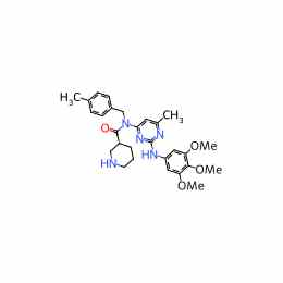 COc1cc(Nc2nc(C)cc(N(Cc3ccc(C)cc3)C(=O)[C@H]3CCCNC3)n2)cc(OC)c1OC